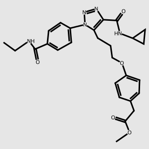 CCNC(=O)c1ccc(-n2nnc(C(=O)NC3CC3)c2CCCOc2ccc(CC(=O)OC)cc2)cc1